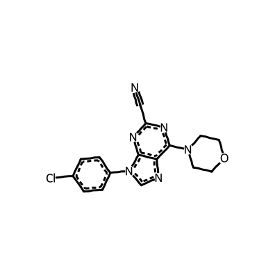 N#Cc1nc(N2CCOCC2)c2ncn(-c3ccc(Cl)cc3)c2n1